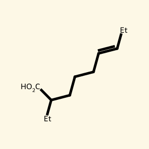 CCC=CCCCC(CC)C(=O)O